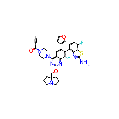 CC#CC(=O)N1CCN(c2nc(OCC34CCCN3CCC4)nc3c(F)c(-c4ccc(F)c5sc(N)nc45)c(-c4ccoc4)cc23)CC1